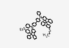 C=CCSc1ccc(C2(c3ccccc3)c3ccccc3-c3ccc(N(c4ccccc4)c4ccc(-c5ccc(N(c6ccccc6)c6ccc7c(c6)C(c6ccccc6)(c6ccc(SCC)cc6)c6ccccc6-7)cc5)cc4)cc32)cc1